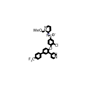 COCn1nccc/c1=N\[S+]([O-])c1ccc(Oc2ccc(-c3ccc(C(F)(F)F)cc3)cc2-c2ccnnc2)c(Cl)c1